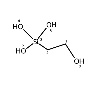 OCC[Si](O)(O)O